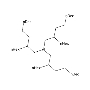 CCCCCCCCCCCCC(CCCCCC)[CH2][Al]([CH2]C(CCCCCC)CCCCCCCCCCCC)[CH2]C(CCCCCC)CCCCCCCCCCCC